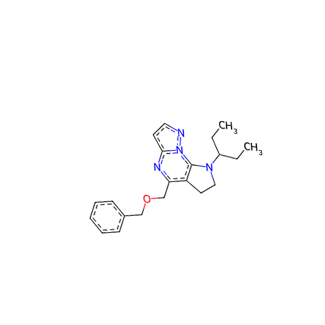 CCC(CC)N1CCc2c(COCc3ccccc3)nc3ccnn3c21